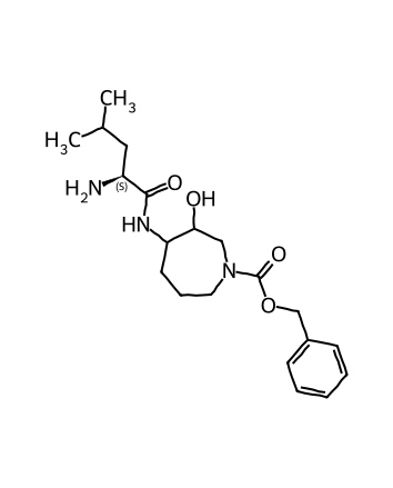 CC(C)C[C@H](N)C(=O)NC1CCCN(C(=O)OCc2ccccc2)CC1O